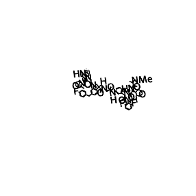 CNC(C)C(=O)NC(C(=O)N1Cc2ccc(NC(=O)CNC(=O)C3(C)CN(C(=O)CN4C[C@@H](C)NC[C@@H]4CN4CCOCC4C)c4cc(Cc5ccc(F)cc5)ccc43)cc2C1C(=O)Nc1c(F)cccc1F)C1CCOCC1